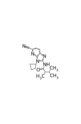 CC(C)C(C)C(=O)Nc1nc2ccc(C#N)nc2n1C1CCC1